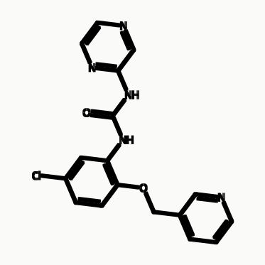 O=C(Nc1cnccn1)Nc1cc(Cl)ccc1OCc1cccnc1